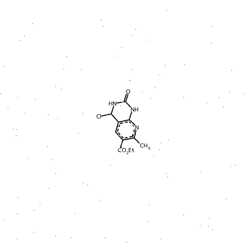 CCOC(=O)c1cc2c(nc1C)NC(=O)NC2Cl